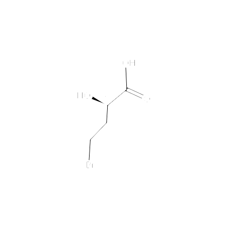 O=C(O)[C@H](O)CCBr